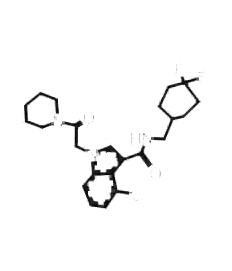 O=C(NCC1CCC(F)(F)CC1)c1cn(CC(=O)N2CCCCC2)c2cccc(Cl)c12